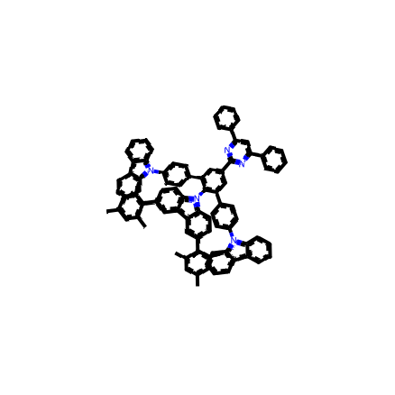 Cc1cc(C)c(-c2ccc3c(c2)c2cc(-c4c(C)cc(C)cc4C)ccc2n3-c2c(-c3ccc(-n4c5ccccc5c5ccccc54)cc3)cc(-c3nc(-c4ccccc4)cc(-c4ccccc4)n3)cc2-c2ccc(-n3c4ccccc4c4ccccc43)cc2)c(C)c1